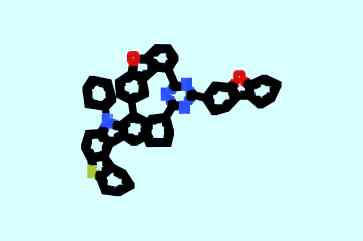 c1ccc(-c2nc(-c3ccc4c(c3)oc3ccccc34)nc(-c3cccc4oc5ccc(-c6cccc7c8c9c(ccc8n(-c8ccccc8)c67)sc6ccccc69)cc5c34)n2)cc1